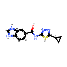 O=C(Nc1nnc(C2CC2)s1)c1ccc2[nH]cnc2c1